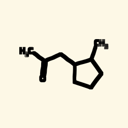 CC(=O)CC1CCCC1C